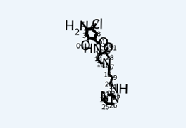 COc1cc(N)c(Cl)cc1C(=O)NC1CCN(CCCCNc2ncccn2)CC1OC